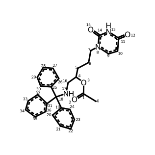 CC(=O)OC(CCCn1ccc(=O)[nH]c1=O)CNC(c1ccccc1)(c1ccccc1)c1ccccc1